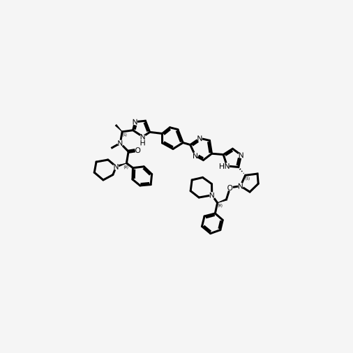 C[C@@H](c1ncc(-c2ccc(-c3ncc(-c4cnc([C@@H]5CCCN5OC[C@@H](c5ccccc5)N5CCCCC5)[nH]4)cn3)cc2)[nH]1)N(C)C(=O)[C@@H](c1ccccc1)N1CCCCC1